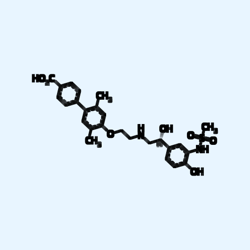 Cc1cc(-c2ccc(C(=O)O)cc2)c(C)cc1OCCNC[C@H](O)c1ccc(O)c(NS(C)(=O)=O)c1